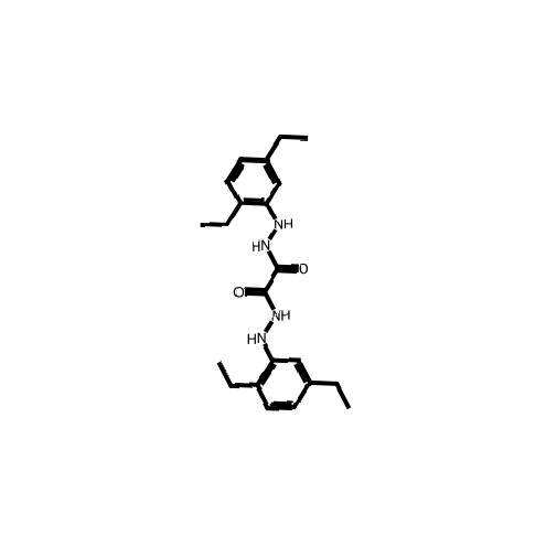 CCc1ccc(CC)c(NNC(=O)C(=O)NNc2cc(CC)ccc2CC)c1